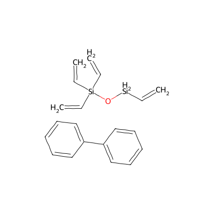 C=C[SiH2]O[Si](C=C)(C=C)C=C.c1ccc(-c2ccccc2)cc1